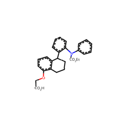 CCOC(=O)N(c1ccccc1)c1ccccc1C1CCCc2c(OCC(=O)O)cccc21